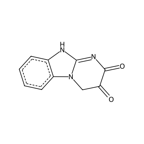 O=C1CN2C(=NC1=O)Nc1ccccc12